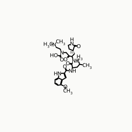 COc1cccc2[nH]c(C(=O)NC(CC(C)C)C(=O)NC(C[C@@H]3CCNC3=O)C(=O)CN(CCN(C)C)C(=O)O)cc12